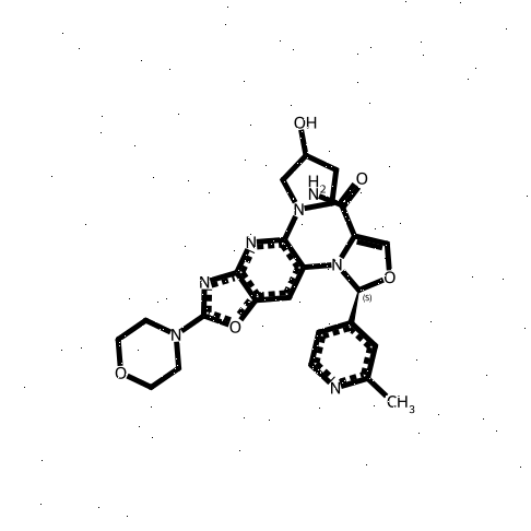 Cc1cc([C@@H]2OC=C(C(N)=O)N2c2cc3oc(N4CCOCC4)nc3nc2N2CCC(O)C2)ccn1